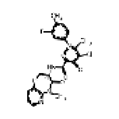 Cc1ccc(-n2nc(C(=O)N[C@H]3COc4cccnc4N(C)C3=O)c(=O)c(Cl)c2C)cc1F